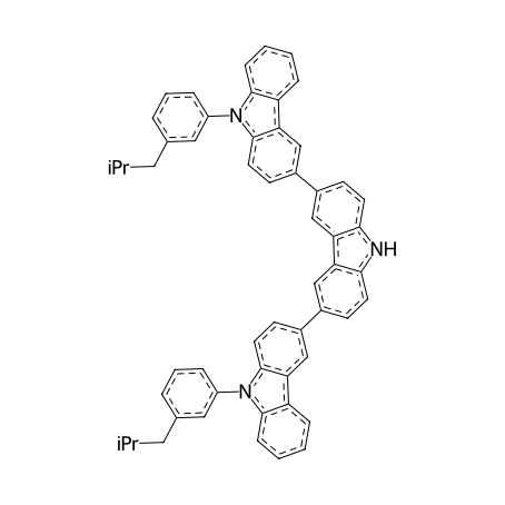 CC(C)Cc1cccc(-n2c3ccccc3c3cc(-c4ccc5[nH]c6ccc(-c7ccc8c(c7)c7ccccc7n8-c7cccc(CC(C)C)c7)cc6c5c4)ccc32)c1